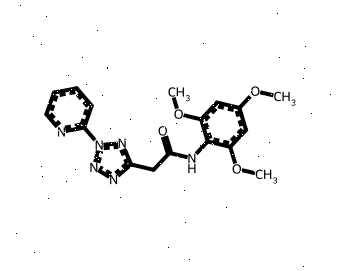 COc1cc(OC)c(NC(=O)Cc2nnn(-c3ccccn3)n2)c(OC)c1